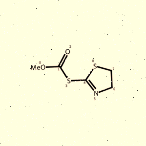 COC(=O)SC1=NCCS1